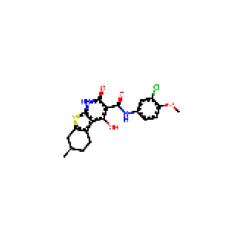 COc1ccc(NC(=O)c2c(O)c3c4c(sc3[nH]c2=O)C[C@H](C)CC4)cc1Cl